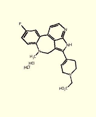 CN1Cc2c(C3=CCN(CC(=O)O)CC3)[nH]c3nccc(c23)-c2cc(F)ccc21.Cl.Cl